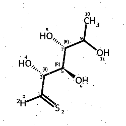 [2H]C(=S)[C@H](O)[C@H](O)[C@H](O)C(C)O